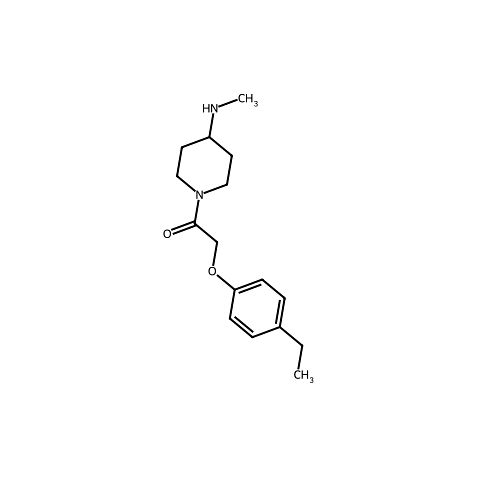 CCc1ccc(OCC(=O)N2CCC(NC)CC2)cc1